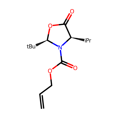 C=CCOC(=O)N1[C@H](C(C)C)C(=O)O[C@@H]1C(C)(C)C